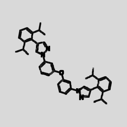 CC(C)c1cccc(C(C)C)c1-c1cnn(-c2cccc(Oc3cccc(-n4cc(-c5c(C(C)C)cccc5C(C)C)cn4)c3)c2)c1